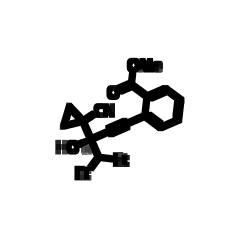 CCC(CC)[C@@](O)(C#Cc1ccccc1C(=O)OC)C1(C#N)CC1